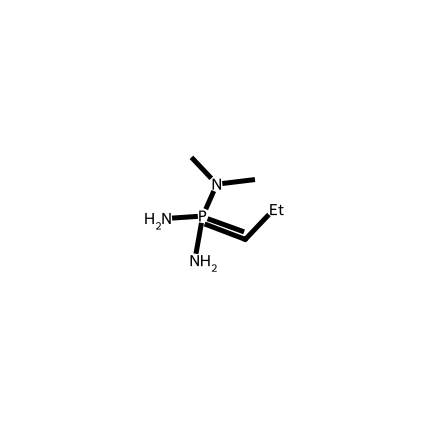 CCC=P(N)(N)N(C)C